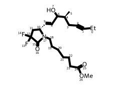 CCC#CC[C@H](C)C(O)C=C[C@H]1CC(F)(F)C(=O)N1CCCCCCC(=O)OC